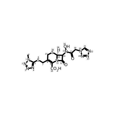 Cn1nnnc1SCC1=C(C(=O)O)N2C(=O)C(N(O)C(=O)Cn3cnnn3)[C@@H]2SC1